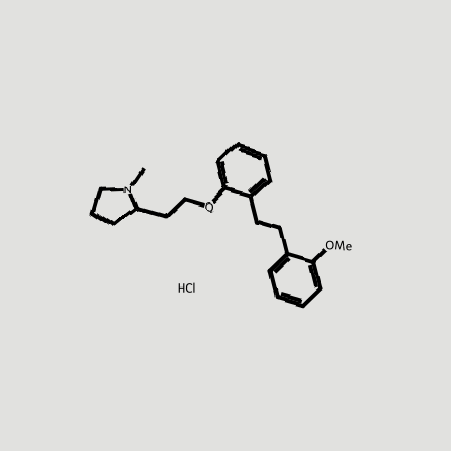 COc1ccccc1CCc1ccccc1OCCC1CCCN1C.Cl